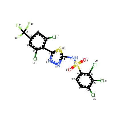 O=S(=O)(Nc1nnc(-c2c(Cl)cc(C(F)(F)F)cc2Cl)s1)c1ccc(Cl)c(Cl)c1Cl